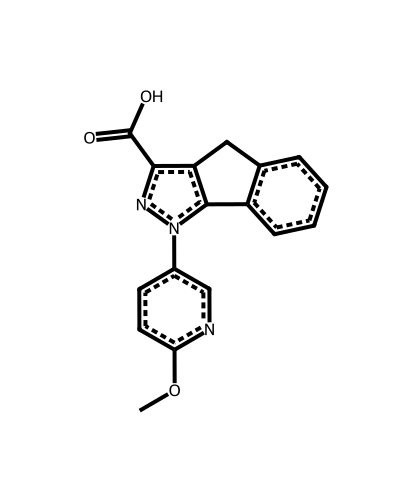 COc1ccc(-n2nc(C(=O)O)c3c2-c2ccccc2C3)cn1